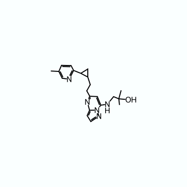 Cc1ccc(C2CC2CCc2cc(NCC(C)(C)O)n3nccc3n2)nc1